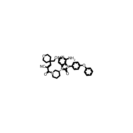 COCC1(C=C(C#N)C(=O)N2CCC[C@@H](n3c(=O)n(-c4ccc(Oc5ccccc5)cc4)c4c(N)nccc43)C2)CCOCC1